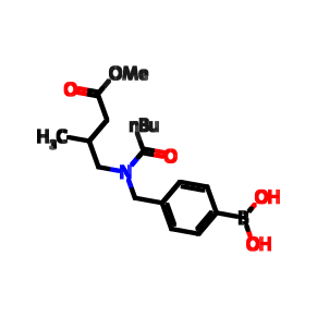 CCCCC(=O)N(Cc1ccc(B(O)O)cc1)CC(C)CC(=O)OC